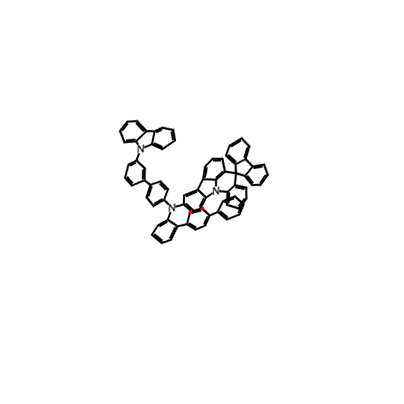 c1ccc(-c2ccc(-c3ccccc3N(c3ccc(-c4cccc(-n5c6ccccc6c6ccccc65)c4)cc3)c3ccc4c(c3)c3cccc5c3n4-c3ccccc3C53c4ccccc4-c4ccccc43)cc2)cc1